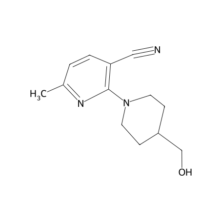 Cc1ccc(C#N)c(N2CCC(CO)CC2)n1